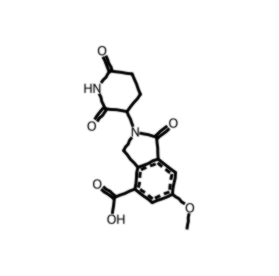 COc1cc(C(=O)O)c2c(c1)C(=O)N(C1CCC(=O)NC1=O)C2